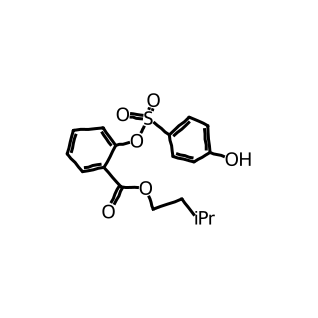 CC(C)CCOC(=O)c1ccccc1OS(=O)(=O)c1ccc(O)cc1